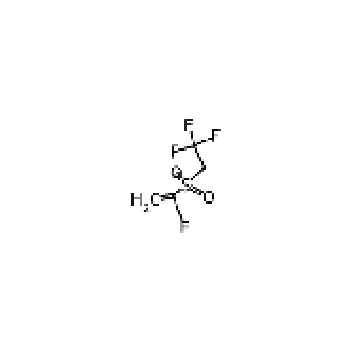 C=C(F)S(=O)(=O)CC(F)(F)F